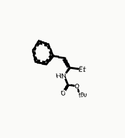 CCC(=Cc1ccccc1)NC(=O)OC(C)(C)C